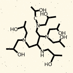 CC(O)CNC(CN(CC(C)O)CC(C)O)C(CN(CC(C)O)CC(C)O)N(CC(C)O)CC(C)O